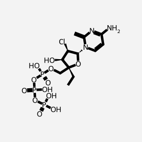 C=C1N=C(N)C=CN1[C@@H]1O[C@](CC)(COP(=O)(O)OP(=O)(O)OP(=O)(O)O)[C@@H](O)[C@H]1Cl